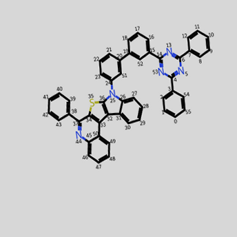 c1ccc(-c2nc(-c3ccccc3)nc(-c3cccc(-c4cccc(-n5c6ccccc6c6c7c(sc65)c(-c5ccccc5)nc5ccccc57)c4)c3)n2)cc1